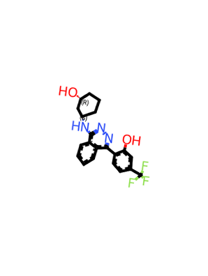 Oc1cc(C(F)(F)F)ccc1-c1nnc(N[C@H]2CCC[C@@H](O)C2)c2ccccc12